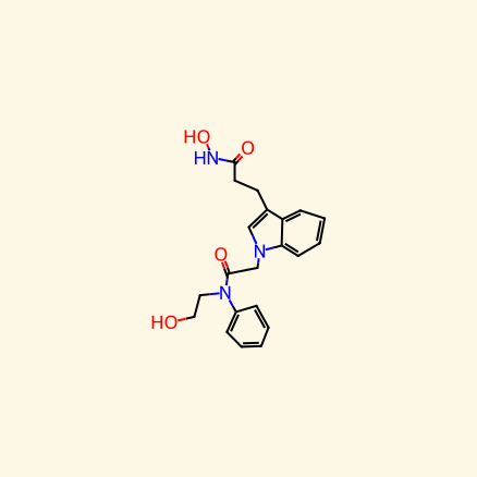 O=C(CCc1cn(CC(=O)N(CCO)c2ccccc2)c2ccccc12)NO